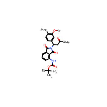 CCOc1cc(C(CC(=O)OC)N2C(=O)c3cccc(NC(=O)OC(C)(C)CC)c3C2=O)ccc1OC